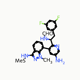 CSNc1nn(C)c2c(-c3cc(N)cnc3C(Cc3cc(F)cc(F)c3)NC=O)cccc12